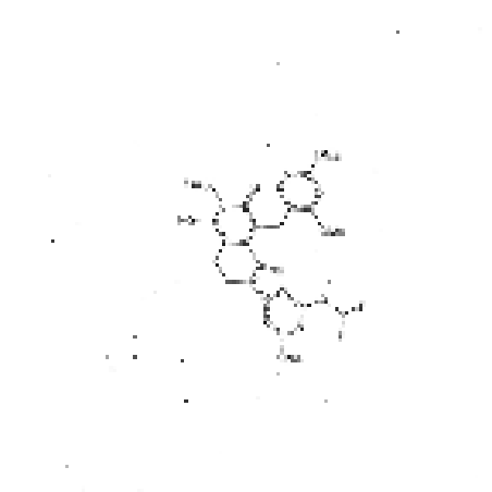 COc1ccc(Cn2c3c(c(O)c(C(=O)O)c2=O)CCc2c-3nc3c(OC(F)F)cc(OC)cn23)c(OC)c1